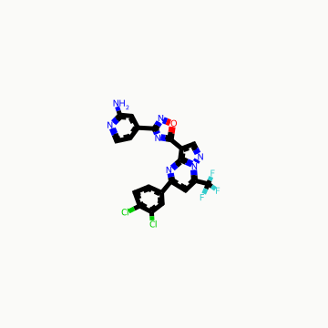 Nc1cc(-c2noc(-c3cnn4c(C(F)(F)F)cc(-c5ccc(Cl)c(Cl)c5)nc34)n2)ccn1